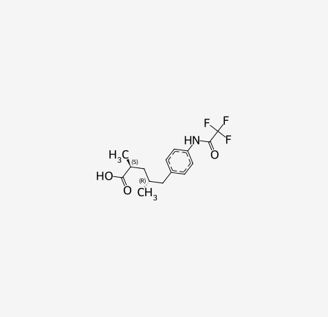 C[C@@H](Cc1ccc(NC(=O)C(F)(F)F)cc1)C[C@H](C)C(=O)O